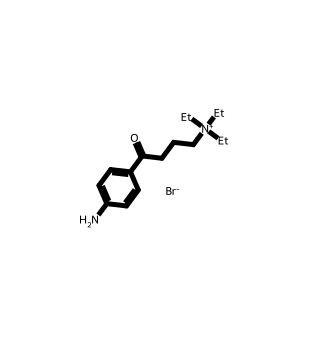 CC[N+](CC)(CC)CCCC(=O)c1ccc(N)cc1.[Br-]